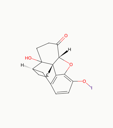 O=C1CCC2(O)[C@@H]3CCC[C@@]24c2c(ccc(OI)c2O[C@@H]14)C3